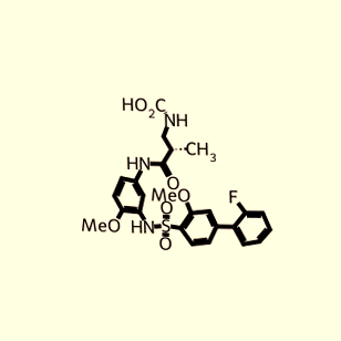 COc1ccc(NC(=O)[C@@H](C)CNC(=O)O)cc1NS(=O)(=O)c1ccc(-c2ccccc2F)cc1OC